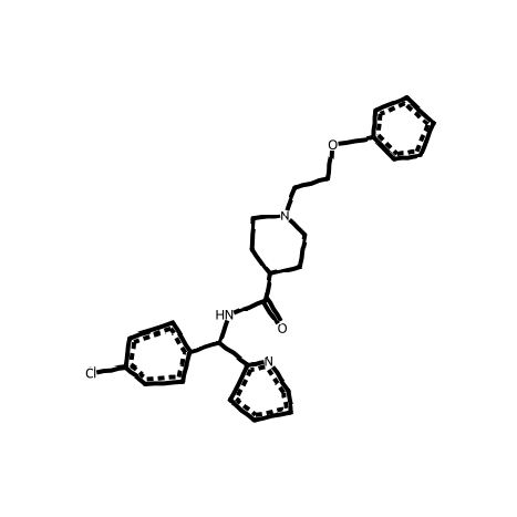 O=C(NC(c1ccc(Cl)cc1)c1ccccn1)C1CCN(CCOc2ccccc2)CC1